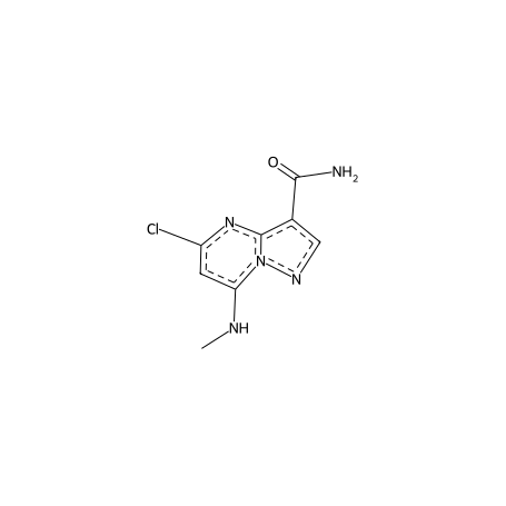 CNc1cc(Cl)nc2c(C(N)=O)cnn12